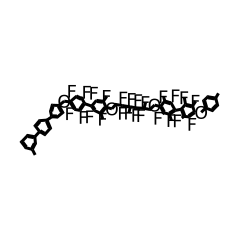 Cc1ccc(Oc2c(F)c(F)c(-c3c(F)c(F)c(OCC(F)(F)C(F)(F)C(F)(F)C(F)(F)COc4c(F)c(F)c(-c5c(F)c(F)c(Oc6ccc(-c7ccc(-c8cccc(C)c8)cc7)cc6)c(F)c5F)c(F)c4F)c(F)c3F)c(F)c2F)cc1